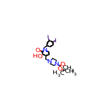 CC(C)(C)OC(=O)N1CCN(Cc2ccn(Cc3ccc(I)c(I)c3)c(=O)c2O)CC1